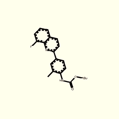 Cc1cc(-c2ccc3cccc(F)c3n2)ccc1NC(=O)OC(C)(C)C